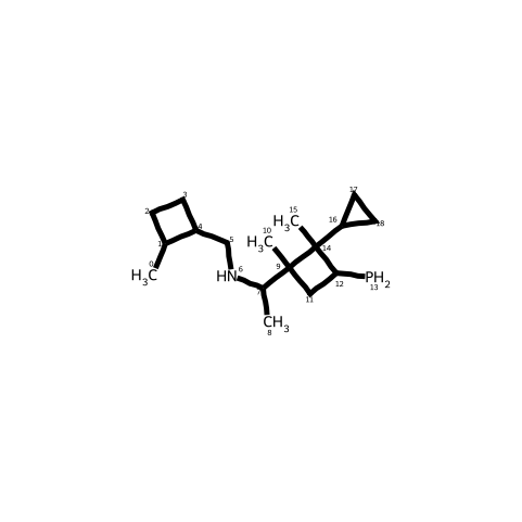 CC1CCC1CNC(C)C1(C)CC(P)C1(C)C1CC1